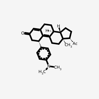 CC(=O)[C@H]1CC[C@H]2[C@@H]3CCC4=CC(=O)C[C@@H](c5ccc(N(C)C)cc5)C4=C3CC[C@]12C